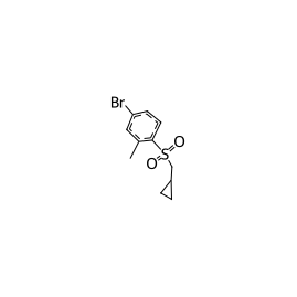 Cc1cc(Br)ccc1S(=O)(=O)CC1CC1